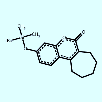 CC(C)(C)[Si](C)(C)Oc1ccc2c3c(c(=O)oc2c1)CCCCC3